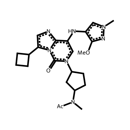 COc1nn(C)cc1Nc1cn(C2CCC(N(C)C(C)=O)C2)c(=O)n2c(C3CCC3)cnc12